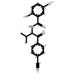 CC(C)C(NC(=O)c1cc(Cl)ccc1F)C(=O)c1ccc(C#N)cc1